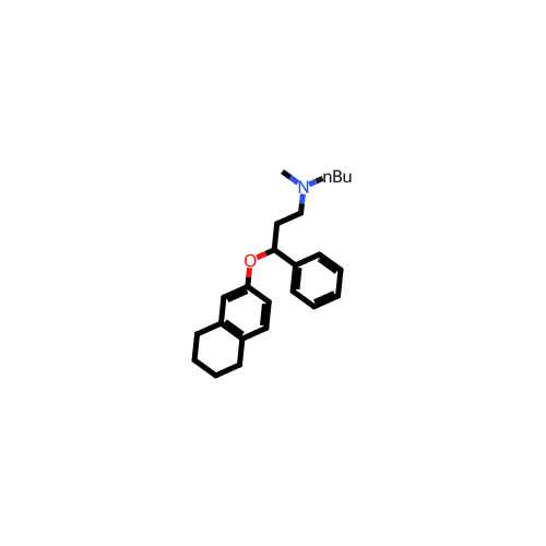 CCCCN(C)CCC(Oc1ccc2c(c1)CCCC2)c1ccccc1